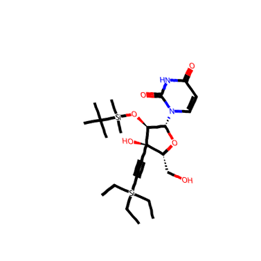 CC[Si](C#C[C@@]1(O)[C@@H](CO)O[C@@H](n2ccc(=O)[nH]c2=O)[C@@H]1O[Si](C)(C)C(C)(C)C)(CC)CC